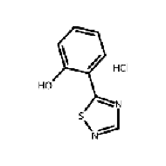 Cl.Oc1ccccc1-c1ncns1